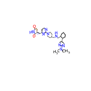 CN(C)c1ncc(-c2ccccc2CNCC2CCN(c3nccc(/C=C4\SC(=O)NC4=O)n3)CC2)cn1